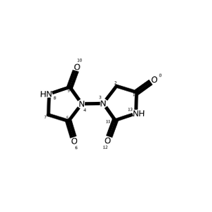 O=C1CN(N2C(=O)CNC2=O)C(=O)N1